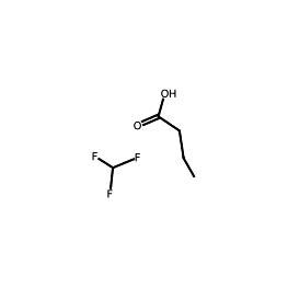 CCCC(=O)O.FC(F)F